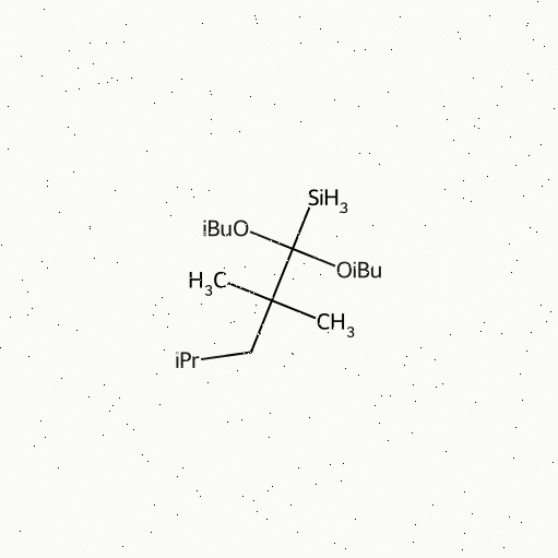 CC(C)COC([SiH3])(OCC(C)C)C(C)(C)CC(C)C